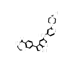 CN1CCN(c2cc(Nc3cnc4[nH]cc(-c5ccc6c(c5)OCCNC6=O)c4c3)ccn2)CC1